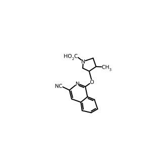 CC1CN(C(=O)O)CC1Oc1nc(C#N)cc2ccccc12